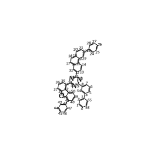 c1ccc(-c2cccc(-c3nc(-c4ccc5c(ccc6ccc(-c7ccccc7)cc65)c4)nc(-c4cccc5oc6c(-c7ccccc7)cccc6c45)n3)c2)cc1